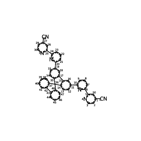 N#Cc1ccnc(-c2cccc(-c3ccc4c(c3)-c3cc(-c5cccc(-c6cc(C#N)ccn6)n5)ccc3C43c4ccccc4-c4ccccc43)n2)c1